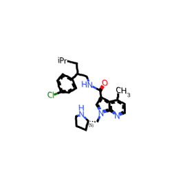 Cc1ccnc2c1c(C(=O)NCC(CC(C)C)c1ccc(Cl)cc1)cn2C[C@@H]1CCCN1